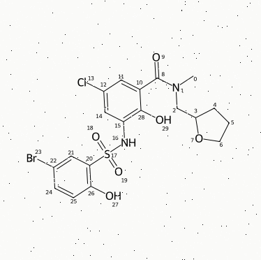 CN(CC1CCCO1)C(=O)c1cc(Cl)cc(NS(=O)(=O)c2cc(Br)ccc2O)c1O